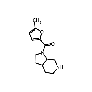 Cc1ccc(C(=O)N2CCC3CCNCC32)o1